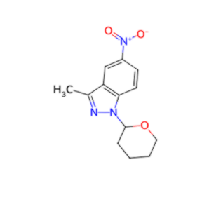 Cc1nn(C2CCCCO2)c2ccc([N+](=O)[O-])cc12